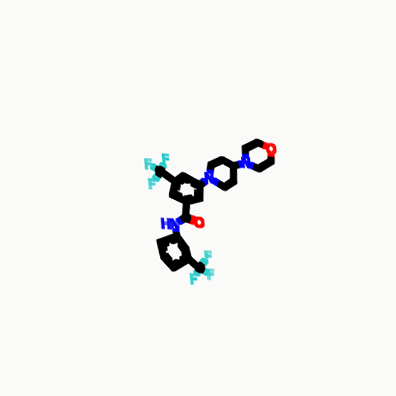 O=C(Nc1cccc(C(F)(F)F)c1)c1cc(N2CCC(N3CCOCC3)CC2)cc(C(F)(F)F)c1